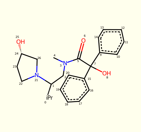 CC(C)C(CN(C)C(=O)C(O)(c1ccccc1)c1ccccc1)N1CC[C@H](O)C1